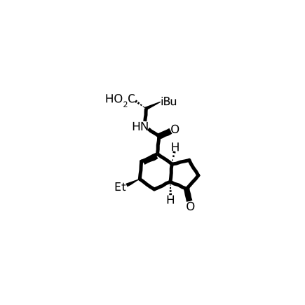 CC[C@H]1C=C(C(=O)N[C@H](C(=O)O)[C@H](C)CC)[C@H]2CCC(=O)[C@H]2C1